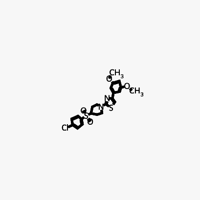 COc1cc(OC)cc(-c2csc(N3CCC(S(=O)(=O)c4ccc(Cl)cc4)CC3)n2)c1